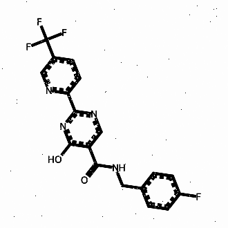 O=C(NCc1ccc(F)cc1)c1cnc(-c2ccc(C(F)(F)F)cn2)nc1O